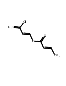 C=C(Cl)C=COC(=O)C=CC